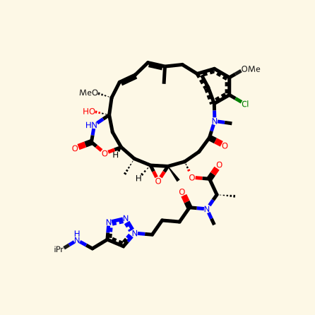 COc1cc2cc(c1Cl)N(C)C(=O)C[C@H](OC(=O)[C@H](C)N(C)C(=O)CCCn1cc(CNC(C)C)nn1)[C@]1(C)O[C@H]1[C@H](C)[C@@H]1C[C@@](O)(NC(=O)O1)[C@H](OC)/C=C/C=C(\C)C2